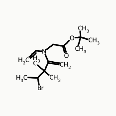 C=CN(CC(=O)OC(C)(C)C)C(=C)C(C)(C)C(C)Br